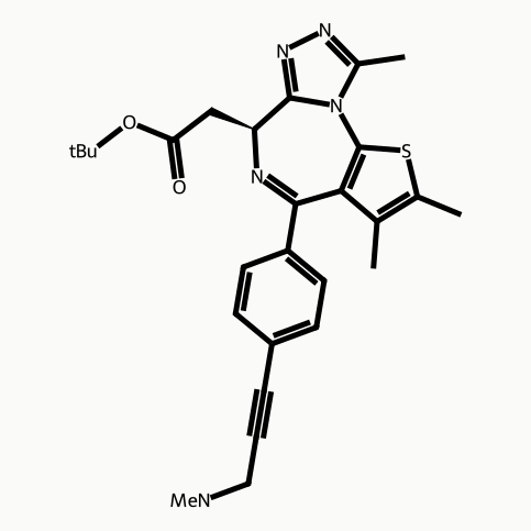 CNCC#Cc1ccc(C2=N[C@@H](CC(=O)OC(C)(C)C)c3nnc(C)n3-c3sc(C)c(C)c32)cc1